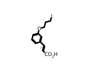 O=C(O)/C=C/c1cccc(OCCCI)c1